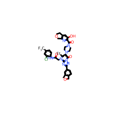 CCc1c(N2CCN(C(=O)c3nc4c(cc3O)CCOC4)CC2)c(=O)n2nc(-c3ccc4c(c3)COC4)nc2n1CC(=O)Nc1ccc(C(F)(F)F)cc1Cl